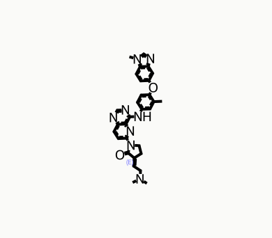 Cc1cc(Nc2ncnc3ccc(N4CC/C(=C\CN(C)C)C4=O)nc23)ccc1Oc1ccc2c(c1)ncn2C